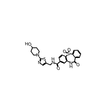 O=C(NCc1cnc(N2CCC(O)CC2)s1)c1ccc2c(c1)NC(=O)c1ccccc1S2(=O)=O